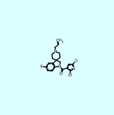 C=CCN1CCC2(CC1)CN(C(=O)c1cc(Cl)sc1Cl)c1ccc(F)cc12